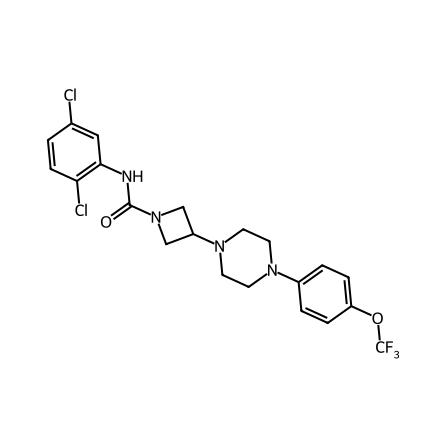 O=C(Nc1cc(Cl)ccc1Cl)N1CC(N2CCN(c3ccc(OC(F)(F)F)cc3)CC2)C1